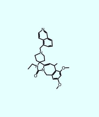 CCN1C(=O)N2Cc3cc(OC)cc(OC)c3C(C)C=C2C12CCN(Cc1cccc3cnccc13)CC2